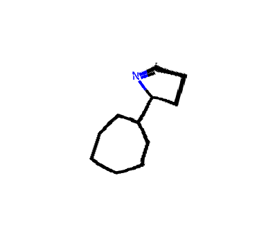 [C]1=NC(C2CCCCCC2)CC1